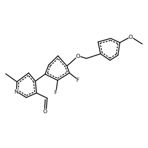 COc1ccc(COc2ccc(-c3cc(C)ncc3C=O)c(F)c2F)cc1